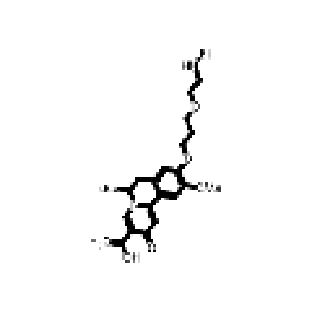 C=C(O)c1cn2c(cc1=O)-c1cc(OC)c(OCCCOCCNCC)cc1CC2C(C)(C)C